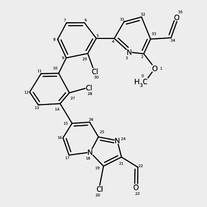 COc1nc(-c2cccc(-c3cccc(-c4ccn5c(Cl)c(C=O)nc5c4)c3Cl)c2Cl)ccc1C=O